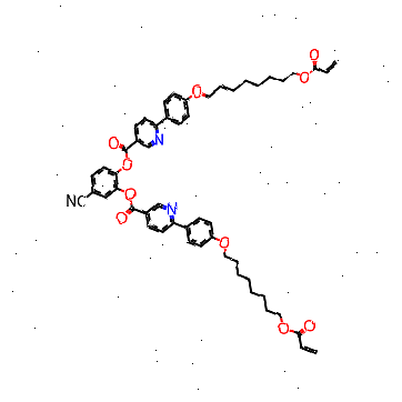 C=CC(=O)OCCCCCCCCOc1ccc(-c2ccc(C(=O)Oc3ccc(C#N)cc3OC(=O)c3ccc(-c4ccc(OCCCCCCCCOC(=O)C=C)cc4)nc3)cn2)cc1